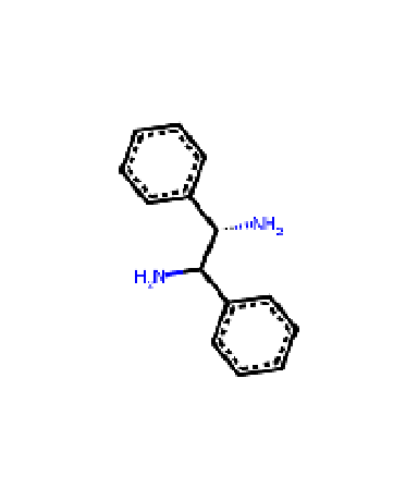 NC(c1ccccc1)[C@@H](N)c1ccccc1